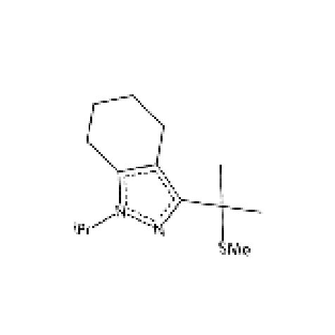 CSC(C)(C)c1nn(C(C)C)c2c1CCCC2